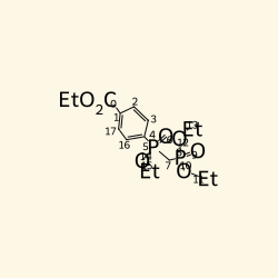 CCOC(=O)c1ccc(P(=O)(CP(=O)(OCC)OCC)OCC)cc1